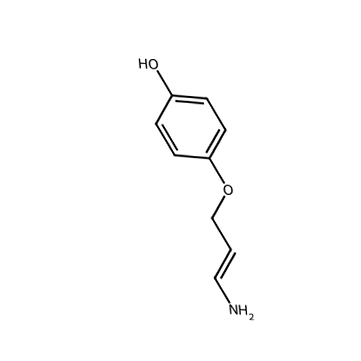 NC=CCOc1ccc(O)cc1